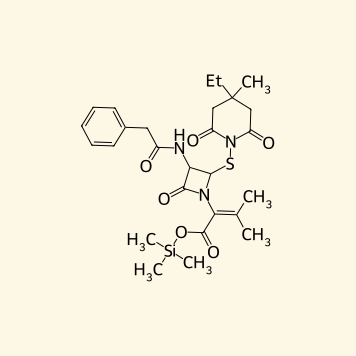 CCC1(C)CC(=O)N(SC2C(NC(=O)Cc3ccccc3)C(=O)N2C(C(=O)O[Si](C)(C)C)=C(C)C)C(=O)C1